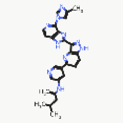 C=C(CC(C)C)Nc1cncc(-c2ccc3[nH]nc(-c4nc5c(-n6cnc(C)c6)nccc5[nH]4)c3n2)c1